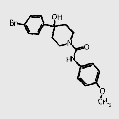 COc1ccc(NC(=O)N2CCC(O)(c3ccc(Br)cc3)CC2)cc1